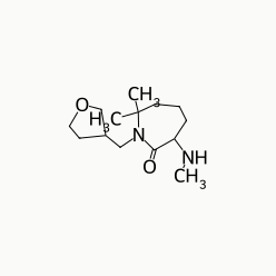 CNC1CCCC(C)(C)N(CC2CCOC2)C1=O